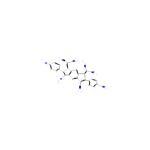 N#CC(C#N)=C1C(c2ccc(C#N)c(F)c2F)=C(C#N)c2c1cc1c(c2F)C(C#N)=C(c2ccc(C#N)c(F)c2F)C1=C(C#N)C#N